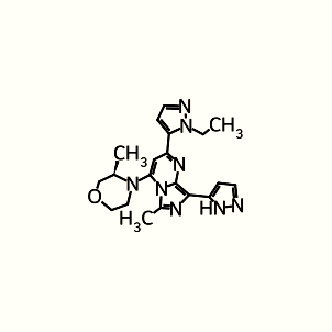 CCn1nccc1-c1cc(N2CCOC[C@H]2C)n2c(C)nc(-c3ccn[nH]3)c2n1